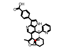 Cc1noc(C)c1-c1cnc2c(-c3ccc(C(=O)O)cc3)c[nH]c2c1[C@H](c1ccccn1)C1CCCCC1